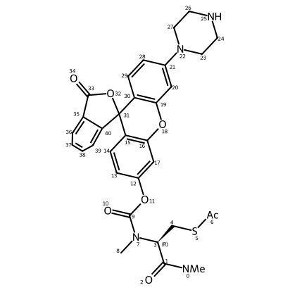 CNC(=O)[C@H](CSC(C)=O)N(C)C(=O)Oc1ccc2c(c1)Oc1cc(N3CCNCC3)ccc1C21OC(=O)c2ccccc21